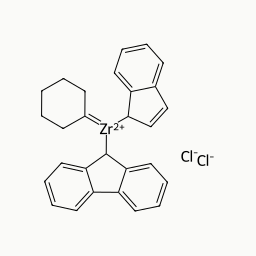 C1=C[CH]([Zr+2](=[C]2CCCCC2)[CH]2c3ccccc3-c3ccccc32)c2ccccc21.[Cl-].[Cl-]